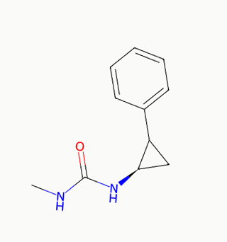 CNC(=O)N[C@@H]1CC1c1ccccc1